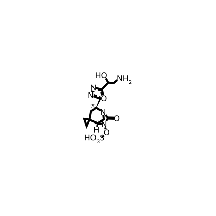 NCC(O)c1nnc([C@@H]2CC3(CC3)[C@@H]3CN2C(=O)N3OS(=O)(=O)O)o1